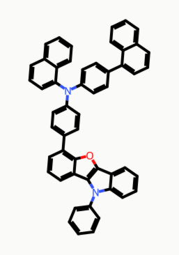 c1ccc(-n2c3ccccc3c3oc4c(-c5ccc(N(c6ccc(-c7cccc8ccccc78)cc6)c6cccc7ccccc67)cc5)cccc4c32)cc1